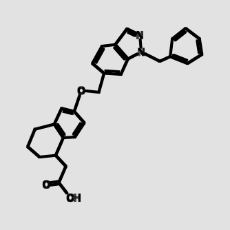 O=C(O)CC1CCCc2cc(OCc3ccc4cnn(Cc5ccccc5)c4c3)ccc21